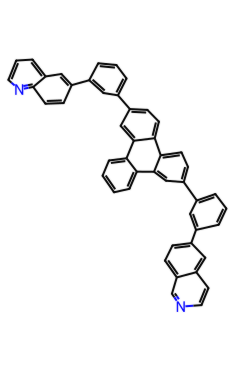 c1cc(-c2ccc3cnccc3c2)cc(-c2ccc3c4ccc(-c5cccc(-c6ccc7ncccc7c6)c5)cc4c4ccccc4c3c2)c1